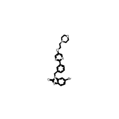 O=c1sc2ccc(Br)cc2n1Cc1cccc(-c2ncc(OCCN3CCOCC3)cn2)c1